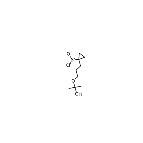 CC(C)(O)OCCCC1([S+]([O-])Cl)CC1